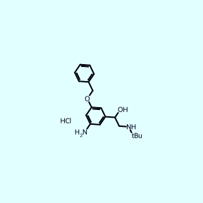 CC(C)(C)NCC(O)c1cc(N)cc(OCc2ccccc2)c1.Cl